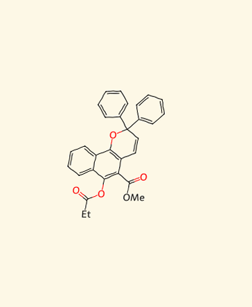 CCC(=O)Oc1c(C(=O)OC)c2c(c3ccccc13)OC(c1ccccc1)(c1ccccc1)C=C2